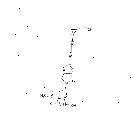 CC(CCN1Cc2cc(C#CC#C[C@H]3C[C@@H]3CO)cn2C1=O)(C(=O)NO)S(C)(=O)=O